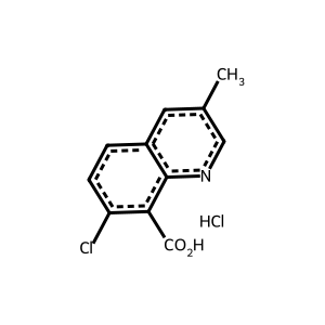 Cc1cnc2c(C(=O)O)c(Cl)ccc2c1.Cl